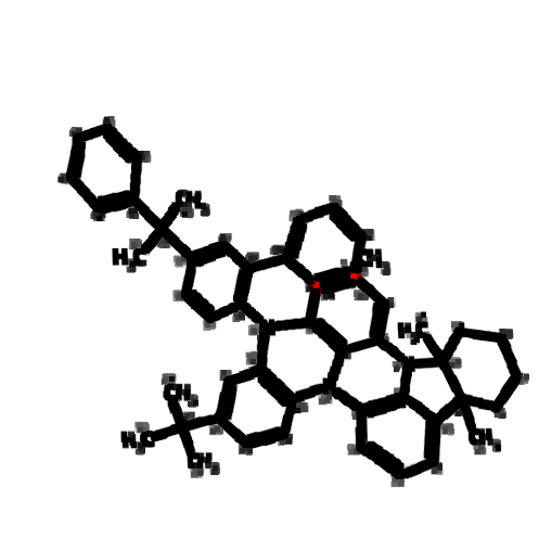 Cc1cc2c3c(c1)N1c4c(cccc4C4(C)CCCCC14C)B3c1ccc(C(C)(C)C)cc1N2c1ccc(C(C)(C)c2ccccc2)cc1-c1ccccc1